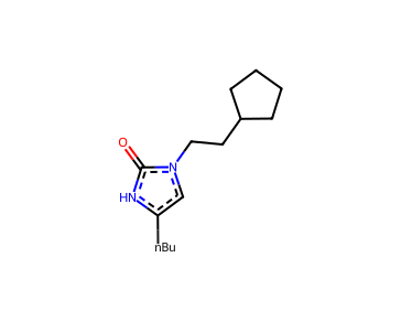 CCCCc1cn(CCC2CCCC2)c(=O)[nH]1